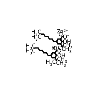 CC(C)CCCCCCc1cc(C(=O)[O-])c(O)c(C(C)(C)C)c1.CC(C)CCCCCCc1cc(C(=O)[O-])c(O)c(C(C)(C)C)c1.[Zn+2]